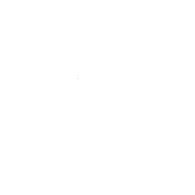 [CH2]/C=C/c1ccccc1F